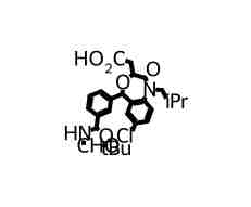 CC(C)CN1C(=O)C(CC(=O)O)OC(c2cccc(C(NC=O)OC(C)(C)C)c2)c2cc(Cl)ccc21